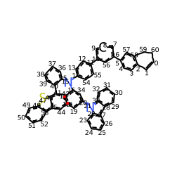 C1=Cc2ccc(-c3cccc(-c4ccc(N(c5cccc(-n6c7ccccc7c7ccccc76)c5)c5ccccc5-c5cccc6c5sc5ccccc56)cc4)c3)cc2CC1